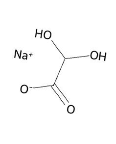 O=C([O-])C(O)O.[Na+]